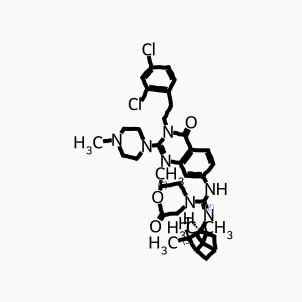 C[C@H]1CN(/C(=N\[C@H]2CC3CC([C@@H]2C)C3(C)C)Nc2ccc3c(=O)n(CCc4ccc(Cl)cc4Cl)c(N4CCN(C)CC4)nc3c2)CC(=O)O1